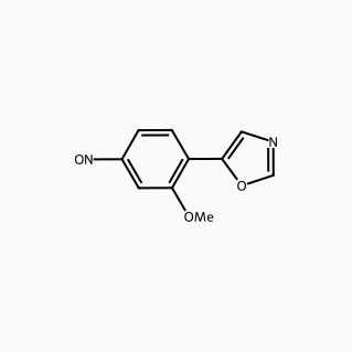 COc1cc(N=O)ccc1-c1cnco1